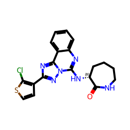 O=C1NCCCC[C@H]1Nc1nc2ccccc2c2nc(-c3ccsc3Cl)nn12